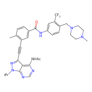 CC(=O)Nc1ncnc2c1c(C#Cc1cc(C(=O)Nc3ccc(CN4CCN(C)CC4)c(C(F)(F)F)c3)ccc1C)nn2C(C)C